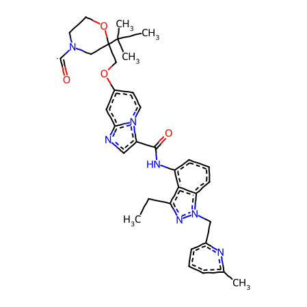 CCc1nn(Cc2cccc(C)n2)c2cccc(NC(=O)c3cnc4cc(OCC5(C(C)(C)C)CN([C]=O)CCO5)ccn34)c12